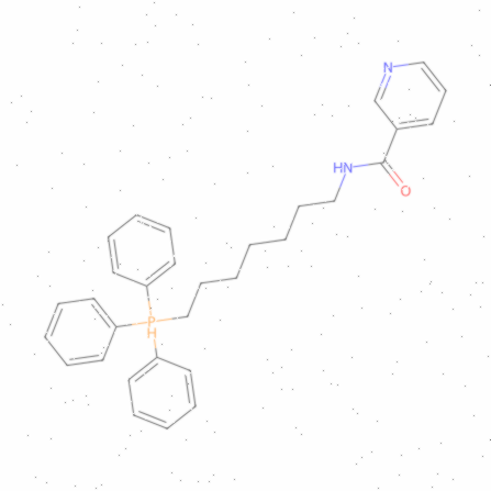 O=C(NCCCCCCC[PH](c1ccccc1)(c1ccccc1)c1ccccc1)c1cccnc1